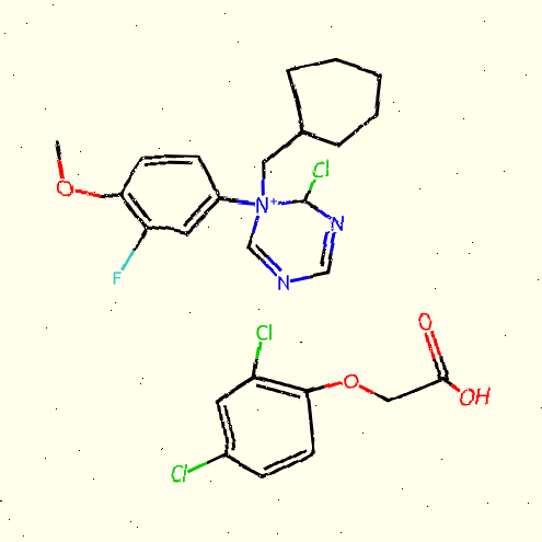 COc1ccc([N+]2(CC3CCCCC3)C=NC=NC2Cl)cc1F.O=C(O)COc1ccc(Cl)cc1Cl